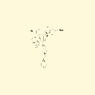 CCOc1ncccc1[C@]1(NC(=O)N2CC3(CN(CCN4CCOCC4)C3)C2)C(=O)N(S(=O)(=O)c2ccc(OC)cc2F)c2ccc(C#N)cc21